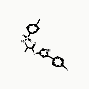 Cc1ccc(S(=O)(=O)NC(C)C(=O)Oc2c[nH]c(-c3ccc(Cl)cc3)c2)cc1